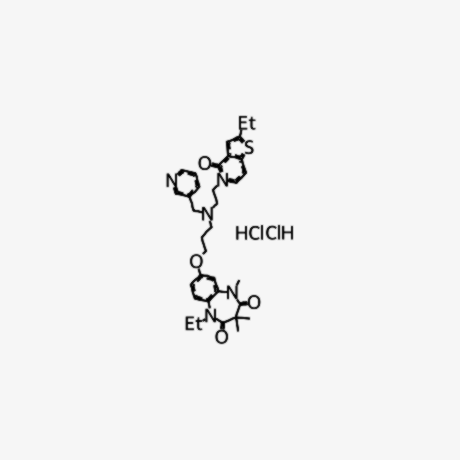 CCc1cc2c(=O)n(CCN(CCCOc3ccc4c(c3)N(C)C(=O)C(C)(C)C(=O)N4CC)Cc3cccnc3)ccc2s1.Cl.Cl